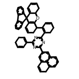 C1=CCC2OC3=C(C=CCC3C3=C(c4nc(C5=CCCC=C5)nc(-c5cc6c7c(cccc7c5)CC=C6)n4)CCC=C3)C3(C2=C1)c1ccccc1-c1ccccc13